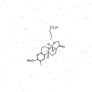 COc1cc2c(cc1C)[C@H]1CC[C@]3(C)C(=O)C[C@@H](CCCC(=O)O)[C@H]3[C@@H]1CC2